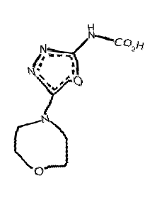 O=C(O)Nc1nnc(N2CCOCC2)o1